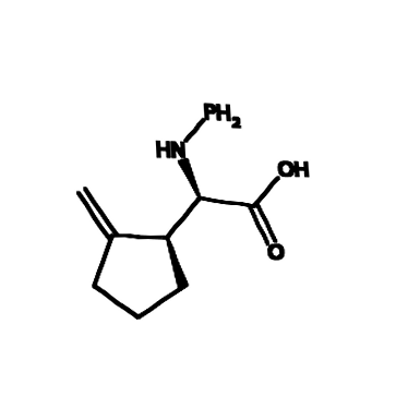 C=C1CCC[C@@H]1[C@@H](NP)C(=O)O